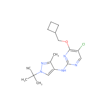 Cc1nn(C(C)(C)C#N)cc1Nc1ncc(Cl)c(OCC2CCC2)n1